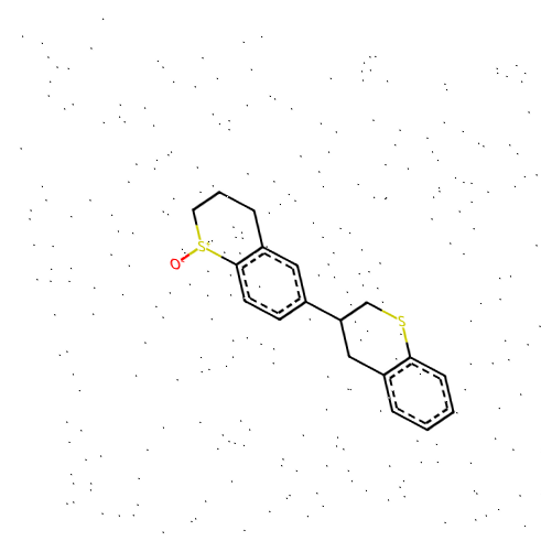 [O-][S+]1CCCc2cc(C3CSc4ccccc4C3)ccc21